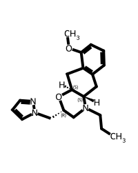 CCCN1C[C@H](Cn2cccn2)O[C@H]2Cc3c(cccc3OC)C[C@@H]21